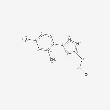 Cc1ccc(-c2nnc(CC[O])o2)c(C)c1